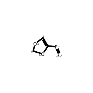 O=PC1=COCO1